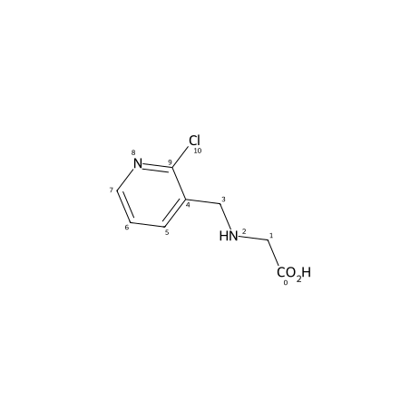 O=C(O)CNCc1cccnc1Cl